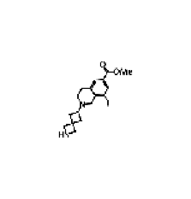 COC(=O)c1cc(F)c2c(c1)CCN(C1CC3(CNC3)C1)C2